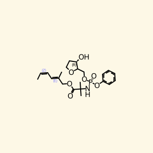 C/C=C\C=C(/C)COC(=O)C(C)(C)NP(=O)(OCC1OCC[C@H]1O)Oc1ccccc1